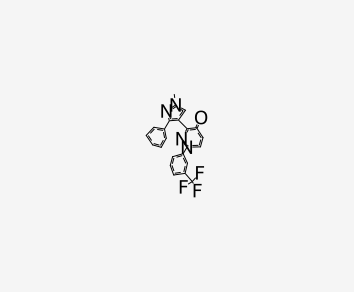 Cn1cc(-c2nn(-c3cccc(C(F)(F)F)c3)ccc2=O)c(-c2ccccc2)n1